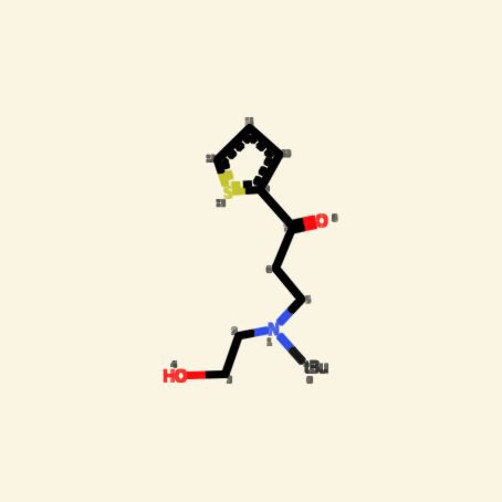 CC(C)(C)N(CCO)CCC(=O)c1cccs1